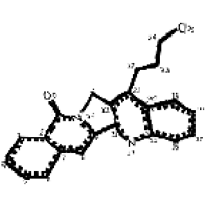 O=c1c2ccccc2cc2n1Cc1c-2nc2ccccc2c1CCCCl